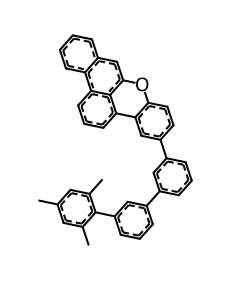 Cc1cc(C)c(-c2cccc(-c3cccc(-c4ccc5c(c4)-c4cccc6c4c(cc4ccccc46)O5)c3)c2)c(C)c1